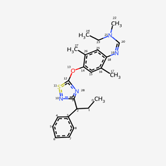 CCC(c1ccccc1)c1nsc(Oc2cc(C)c(/N=C\N(C)CC)cc2C)n1